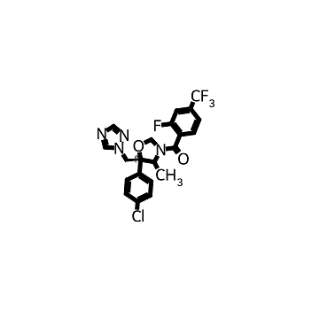 CC1N(C(=O)c2ccc(C(F)(F)F)cc2F)CO[C@@]1(Cn1cncn1)c1ccc(Cl)cc1